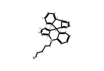 BrCCCCN1c2ccccc2C2(c3ccccc3-c3ccccc32)c2ccccc21